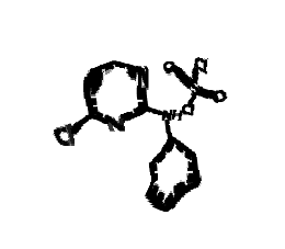 Clc1ccnc(Nc2ccccc2)n1.O=S(=O)(Cl)Cl